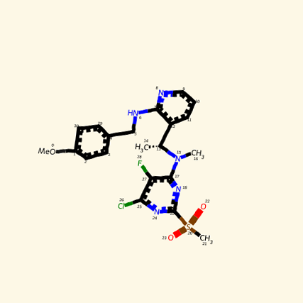 COc1ccc(CNc2ncccc2[C@@H](C)N(C)c2nc(S(C)(=O)=O)nc(Cl)c2F)cc1